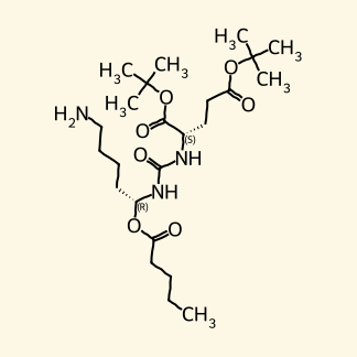 CCCCC(=O)O[C@H](CCCCN)NC(=O)N[C@@H](CCC(=O)OC(C)(C)C)C(=O)OC(C)(C)C